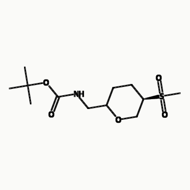 CC(C)(C)OC(=O)NCC1CC[C@@H](S(C)(=O)=O)CO1